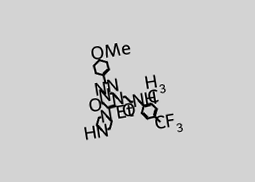 CCc1c(N2CCNCC2)c(=O)n2nc(C3=CC[C@H](OC)CC3)nc2n1CC(=O)Nc1ccc(C(F)(F)F)cc1C